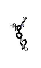 C=NCC/N=C1/C=C(C2=CC=C(N3CCCN(C(C)=O)CC3)C=CC2)N=C(NC)C1